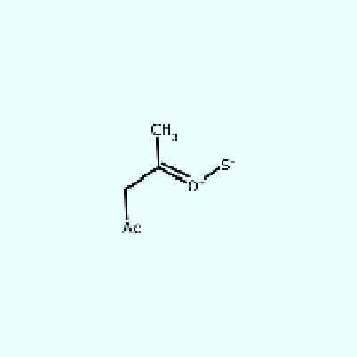 CC(=O)CC(C)=[O+][S-]